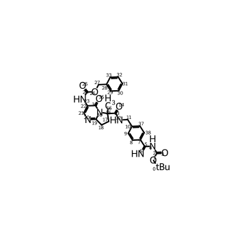 CC(C)(C)OC(=O)NC(=N)c1ccc(CNC(=O)C2(C)CCc3ncc(NC(=O)OCc4ccccc4)c(=O)n32)cc1